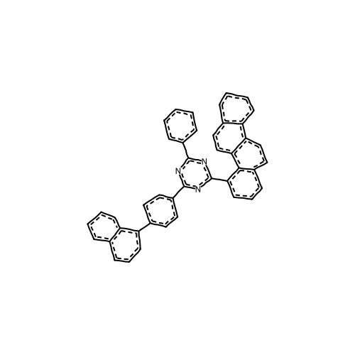 c1ccc(-c2nc(-c3ccc(-c4cccc5ccccc45)cc3)nc(-c3cccc4ccc5c6ccccc6ccc5c34)n2)cc1